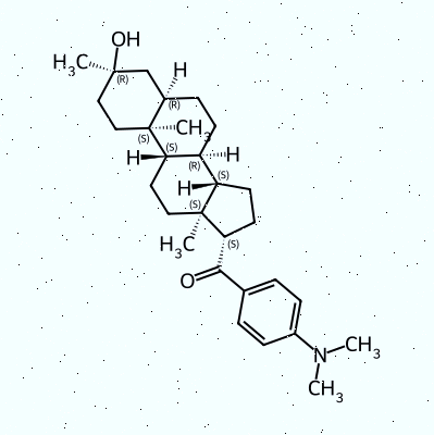 CN(C)c1ccc(C(=O)[C@H]2CC[C@H]3[C@@H]4CC[C@@H]5C[C@](C)(O)CC[C@]5(C)[C@H]4CC[C@]23C)cc1